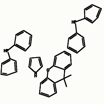 CC1(C)c2ccccc2Oc2ccccc21.c1cc[nH]c1.c1ccc(Pc2ccccc2)cc1.c1ccc(Pc2ccccc2)cc1